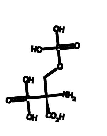 N[C@@](COP(=O)(O)O)(C(=O)O)P(=O)(O)O